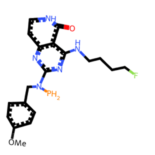 COc1ccc(CN(P)c2nc(NCCCCF)c3c(=O)[nH]ccc3n2)cc1